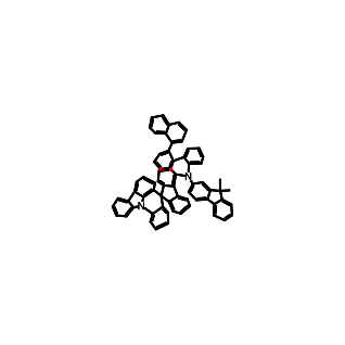 CC1(C)c2ccccc2-c2ccc(N(c3ccccc3-c3ccccc3-c3cccc4ccccc34)c3cccc4c3-c3ccccc3C43c4ccccc4-n4c5ccccc5c5cccc3c54)cc21